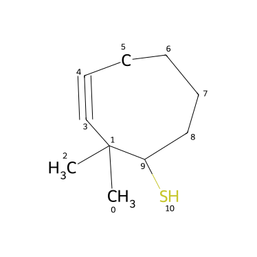 CC1(C)C#CCCCCC1S